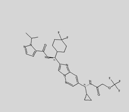 CC(C)n1nccc1C(=O)N[C@H](c1cn2ncc([C@H](NC(=O)COC(F)(F)F)C3CC3)cc2n1)C1CCC(F)(F)CC1